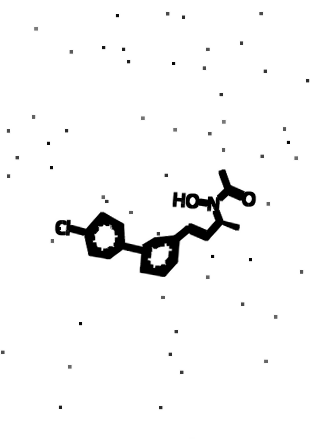 CC(=O)N(O)[C@@H](C)/C=C/c1cccc(-c2ccc(Cl)cc2)c1